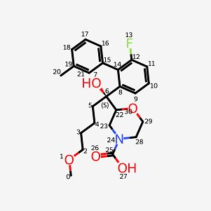 COCCCC[C@](O)(c1cccc(F)c1-c1cccc(C)c1)C1CN(C(=O)O)CCO1